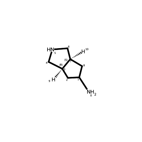 NC1C[C@H]2CNC[C@H]2C1